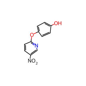 O=[N+]([O-])c1ccc(Oc2ccc(O)cc2)nc1